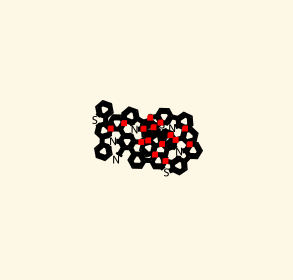 N#Cc1c(-c2cccc(-c3ccc4c(c3)sc3ccc5c6ccccc6n(-c6c(C#N)c(-c7ccccc7)c(C#N)c(-n7c8ccccc8c8ccc9sc%10ccccc%10c9c87)c6-c6ccccc6)c5c34)c2)c(C#N)c(-n2c3ccccc3c3cc4sc5ccccc5c4cc32)c(-c2ccccc2)c1-n1c2ccccc2c2cc3sc4ccccc4c3cc21